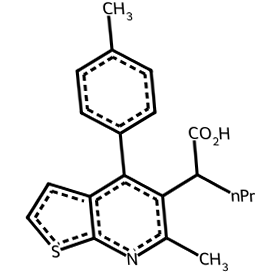 CCCC(C(=O)O)c1c(C)nc2sccc2c1-c1ccc(C)cc1